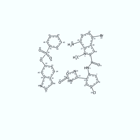 Cn1c(C(=O)Nc2ccc(Cl)cc2-c2noc(=O)[nH]2)cc2c(Br)ccc(N)c21.O=S(=O)(Oc1ccc2conc2c1)c1ccccc1